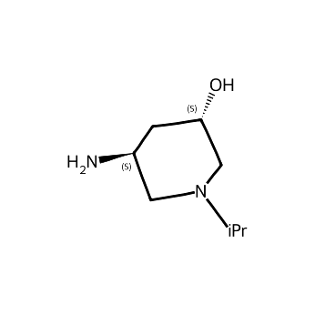 CC(C)N1C[C@@H](N)C[C@H](O)C1